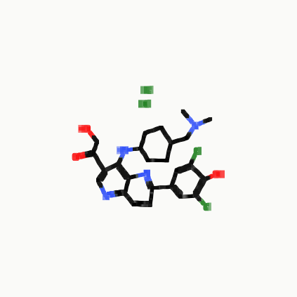 CN(C)CC1CCC(Nc2c(C(=O)CO)cnc3ccc(-c4cc(Cl)c(O)c(Cl)c4)nc23)CC1.Cl.Cl